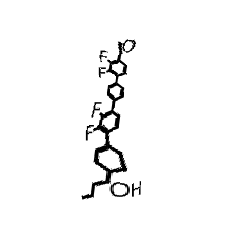 CCCC(O)C1CC=C(c2ccc(-c3ccc(-c4ccc(C5CO5)c(F)c4F)cc3)c(F)c2F)CC1